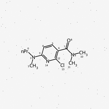 CCCN(C)c1ccc(C(=O)N(C)C)c(Cl)n1